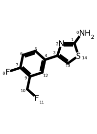 Nc1nc(-c2ccc(F)c(CF)c2)cs1